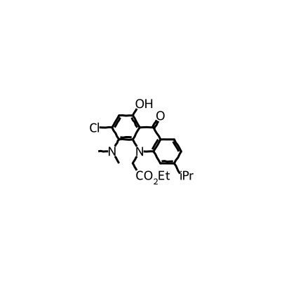 CCOC(=O)Cn1c2cc(C(C)C)ccc2c(=O)c2c(O)cc(Cl)c(N(C)C)c21